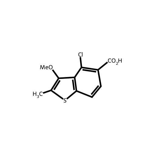 COc1c(C)sc2ccc(C(=O)O)c(Cl)c12